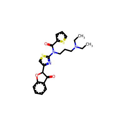 CCN(CC)CCCN(C(=O)c1cccs1)c1nc(C2Oc3ccccc3C2=O)cs1